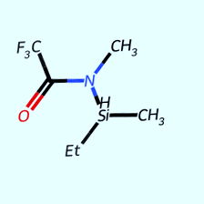 CC[SiH](C)N(C)C(=O)C(F)(F)F